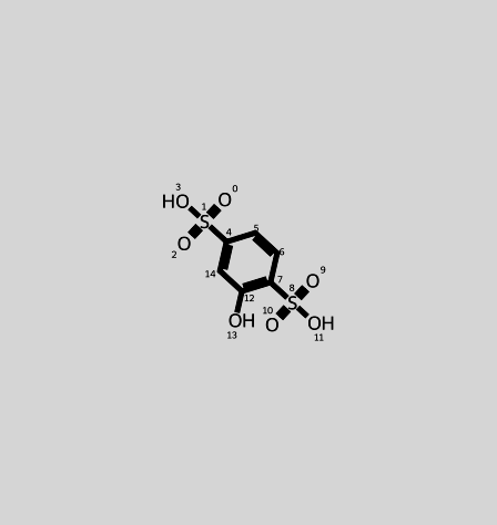 O=S(=O)(O)c1ccc(S(=O)(=O)O)c(O)c1